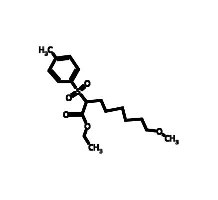 CCOC(=O)C(CCCCCCOC)S(=O)(=O)c1ccc(C)cc1